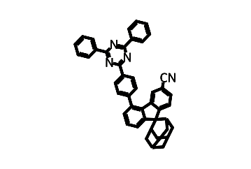 N#Cc1ccc2c(c1)-c1c(-c3ccc(-c4nc(-c5ccccc5)nc(-c5ccccc5)n4)cc3)cccc1C21C2CC3CC(C2)CC1C3